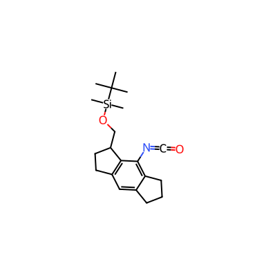 CC(C)(C)[Si](C)(C)OCC1CCc2cc3c(c(N=C=O)c21)CCC3